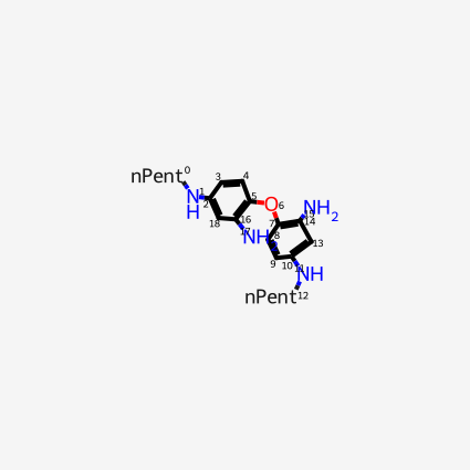 CCCCCNc1ccc(Oc2ccc(NCCCCC)cc2N)c(N)c1